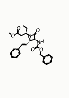 CC[C@H](CC(=O)OC)N1C(=O)[C@H](NC(=O)OCc2ccccc2)[C@@H]1C=Cc1ccccc1